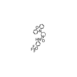 O=C(Nc1ccc(OC(F)(F)F)cc1)N1CCC[C@H](N2c3ccccc3Oc3ccccc32)C1